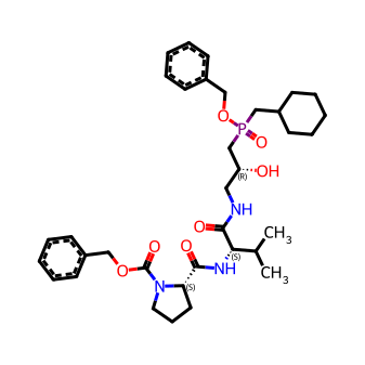 CC(C)[C@H](NC(=O)[C@@H]1CCCN1C(=O)OCc1ccccc1)C(=O)NC[C@@H](O)CP(=O)(CC1CCCCC1)OCc1ccccc1